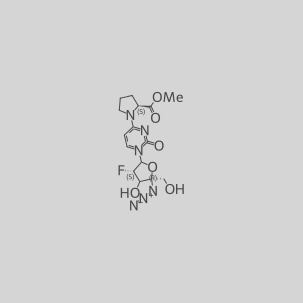 COC(=O)[C@@H]1CCCN1c1ccn(C2O[C@@](CO)(N=[N+]=[N-])C(O)[C@@H]2F)c(=O)n1